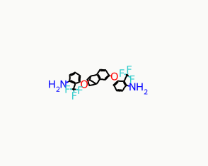 Nc1cccc(Oc2ccc3c(c2)C2CCC3C2Oc2cccc(N)c2C(F)(F)F)c1C(F)(F)F